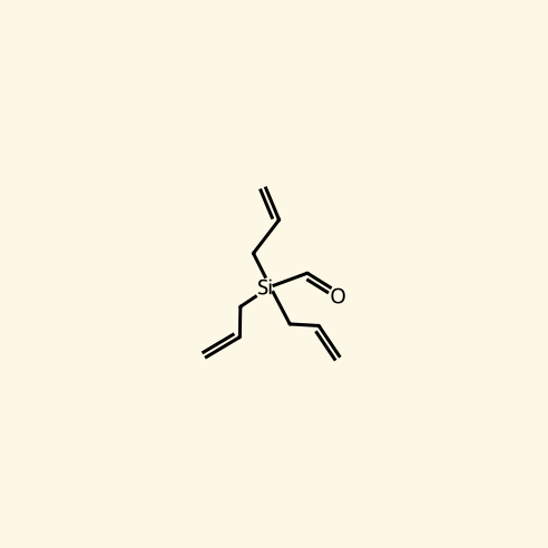 C=CC[Si](C=O)(CC=C)CC=C